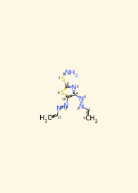 C=CN=Nc1nc(SN)sc1N=NC=C